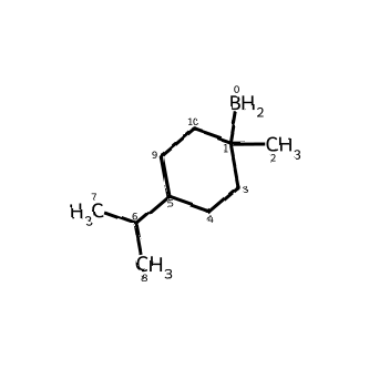 BC1(C)CCC(C(C)C)CC1